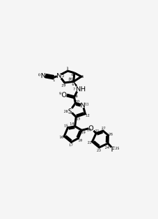 N#CN1CC2C[C@]2(NC(=O)c2ncc(-c3ccccc3Oc3ccc(F)cc3)s2)C1